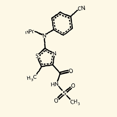 CCCN(c1ccc(C#N)cc1)c1nc(C(=O)NS(C)(=O)=O)c(C)s1